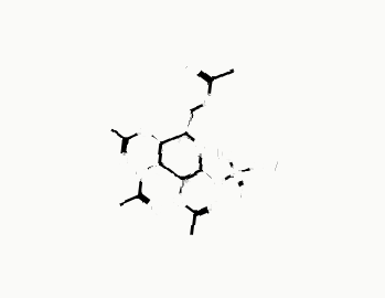 CC(=O)OC[C@H]1O[C@@H](OP(=O)(O)O)[C@@H](OC(C)=O)[C@@H](OC(C)=O)[C@H]1OC(C)=O